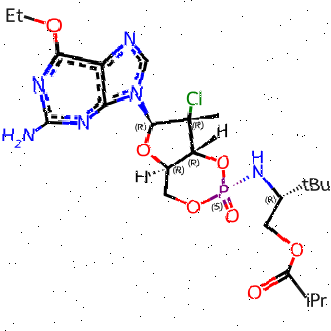 CCOc1nc(N)nc2c1ncn2[C@@H]1O[C@@H]2CO[P@@](=O)(N[C@@H](COC(=O)C(C)C)C(C)(C)C)O[C@H]2[C@@]1(C)Cl